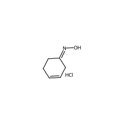 Cl.ON=C1CC=CCC1